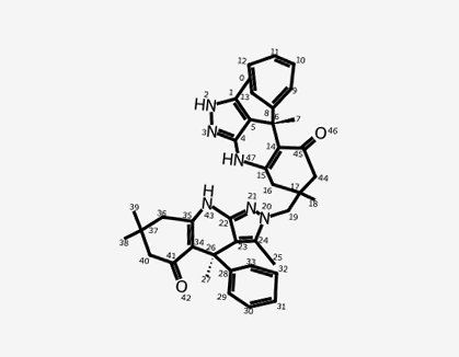 Cc1[nH]nc2c1[C@](C)(c1ccccc1)C1=C(CC(C)(Cn3nc4c(c3C)[C@@](C)(c3ccccc3)C3=C(CC(C)(C)CC3=O)N4)CC1=O)N2